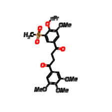 CCCOc1c(OC)cc(C(=O)CCC(=O)c2cc(OC)c(OC)c(OC)c2)cc1S(C)(=O)=O